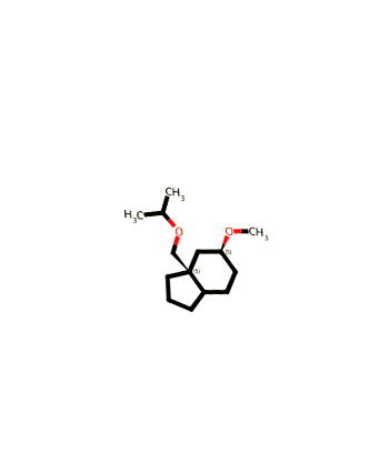 CO[C@H]1CCC2CCC[C@]2(COC(C)C)C1